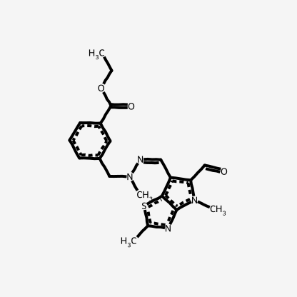 CCOC(=O)c1cccc(CN(C)/N=C\c2c(C=O)n(C)c3nc(C)sc23)c1